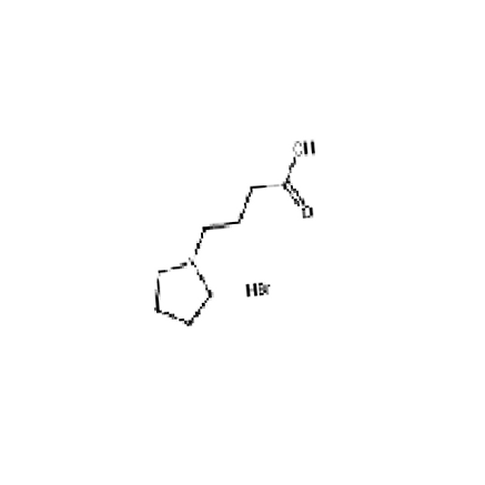 Br.O=C(O)CCCN1CCCC1